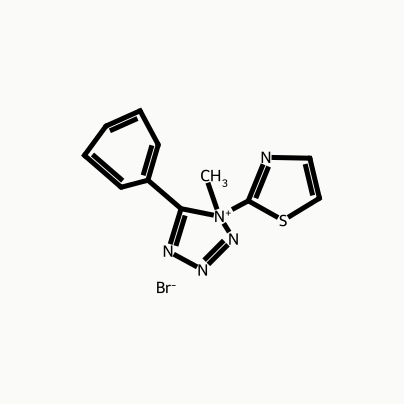 C[N+]1(c2nccs2)N=NN=C1c1ccccc1.[Br-]